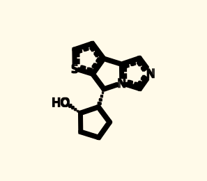 O[C@H]1CCCC1[C@@H]1c2sccc2-c2cncn21